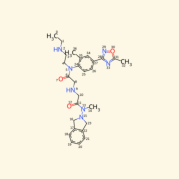 CCNCCN(C(=O)CNCC(=O)N(C)N1Cc2ccccc2C1)c1ccc(-c2noc(C)n2)cc1C